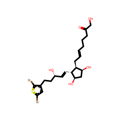 O=C(CO)CCCC=CC[C@@H]1[C@@H](C=C[C@@H](O)CCc2cc(Br)sc2Br)[C@H](O)C[C@@H]1O